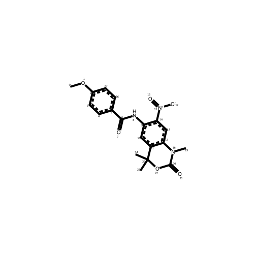 COc1ccc(C(=O)Nc2cc3c(cc2[N+](=O)[O-])N(C)C(=O)OC3(C)C)cc1